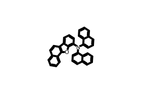 c1ccc2c(N(c3cccc4ccccc34)c3cccc4c3oc3c5ccccc5ccc43)cccc2c1